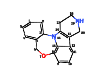 c1ccc2c(c1)COc1cccc3c4c(n-2c13)CCNC4